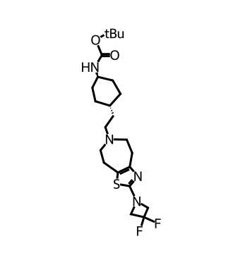 CC(C)(C)OC(=O)N[C@H]1CC[C@H](CCN2CCc3nc(N4CC(F)(F)C4)sc3CC2)CC1